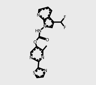 Cc1nc(-c2nccs2)ncc1OC(=O)Nn1cc(C(F)F)c2cccnc21